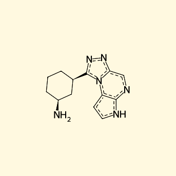 N[C@H]1CCC[C@@H](c2nnc3cnc4[nH]ccc4n23)C1